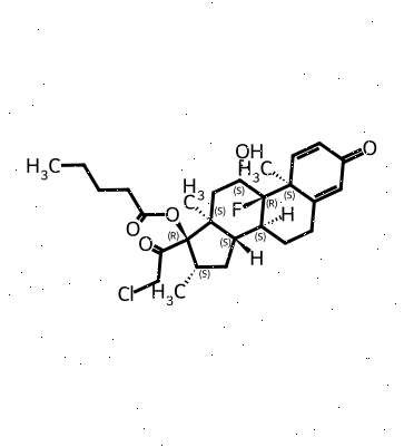 CCCCC(=O)O[C@]1(C(=O)CCl)[C@@H](C)C[C@H]2[C@@H]3CCC4=CC(=O)C=C[C@]4(C)[C@@]3(F)[C@@H](O)C[C@@]21C